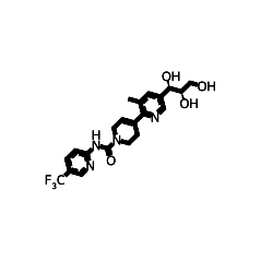 Cc1cc([C@H](O)[C@@H](O)CO)cnc1C1=CCN(C(=O)Nc2ccc(C(F)(F)F)cn2)CC1